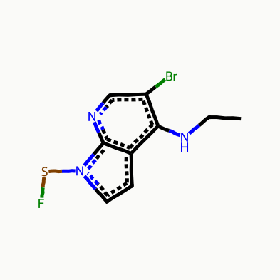 CCNc1c(Br)cnc2c1ccn2SF